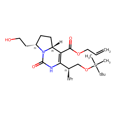 C=CCOC(=O)C1=C([C@H](CCC)CO[Si](C)(C)C(C)(C)C)NC(=O)N2[C@H](CCO)CC[C@H]12